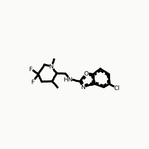 CC1CC(F)(F)CN(C)C1CNc1nc2cc(Cl)ccc2o1